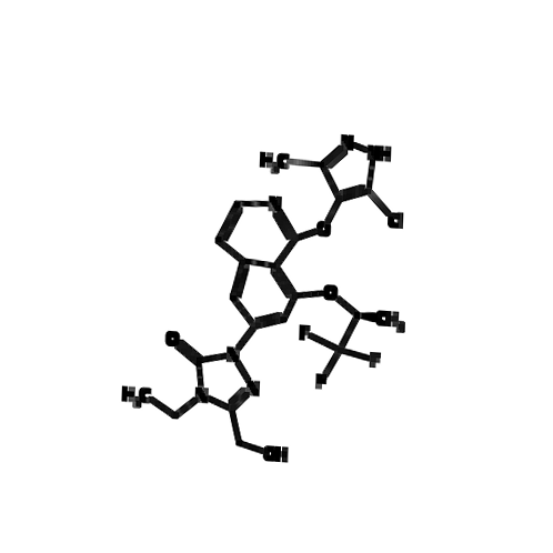 CCn1c(CO)nn(-c2cc(O[C@@H](C)C(F)(F)F)c3c(Oc4c(C)n[nH]c4Cl)nccc3c2)c1=O